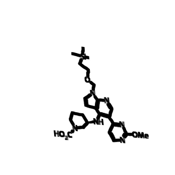 COc1nccc(-c2cnc3c(ccn3COCC[Si](C)(C)C)c2N[C@@H]2CCCN(C(=O)O)C2)n1